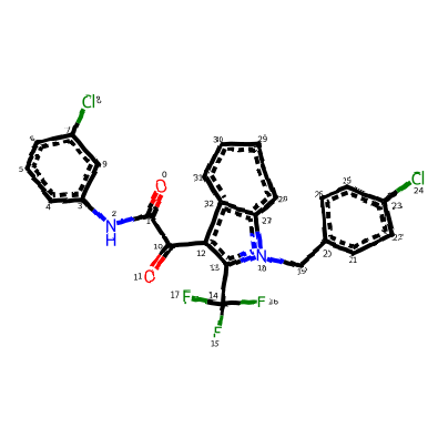 O=C(Nc1cccc(Cl)c1)C(=O)c1c(C(F)(F)F)n(Cc2ccc(Cl)cc2)c2ccccc12